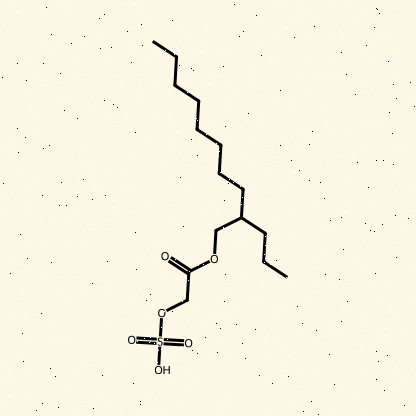 CCCCCCCCC(CCC)COC(=O)COS(=O)(=O)O